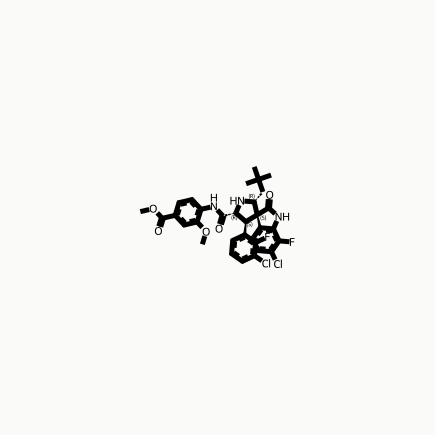 COC(=O)c1ccc(NC(=O)[C@@H]2N[C@H](CC(C)(C)C)[C@]3(C(=O)Nc4c3ccc(Cl)c4F)[C@H]2c2cccc(Cl)c2F)c(OC)c1